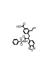 CCCc1cc(C(=O)O)ccc1CC(C(=O)NS(=O)(=O)c1ccccc1)c1ccc2nsnc2c1